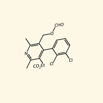 CCOC(=O)c1c(C)nc(C)c(COC=O)c1-c1cccc(Cl)c1Cl